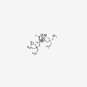 CC#N.CC[N+](CC)(CC)CC.CC[N+](CC)(CC)CC.[O-]B([O-])F